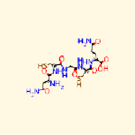 NC(=O)CC[C@H](NC(=O)[C@H](CS)NC(=O)CNC(=O)[C@H](CS)NC(=O)[C@@H](N)CC(N)=O)C(=O)O